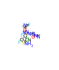 Cc1cn(C(=O)N2CC[C@@]23CCN(c2nc(OC[C@@]45CCCN4C[C@H](F)C5)nc4c(F)c(-c5ccc(F)c6sc(N)c(C#N)c56)c(Cl)cc24)C3)cn1